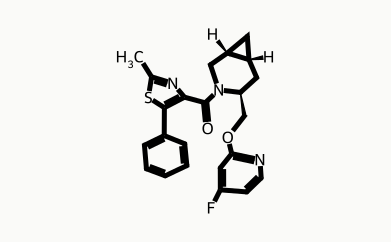 Cc1nc(C(=O)N2C[C@@H]3C[C@@H]3C[C@H]2COc2cc(F)ccn2)c(-c2ccccc2)s1